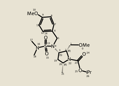 COC[C@H]1[C@@H](N(Cc2ccc(OC)cc2)S(=O)(=O)N(C)C)C[C@@H](C)N1C(=O)OC(C)C